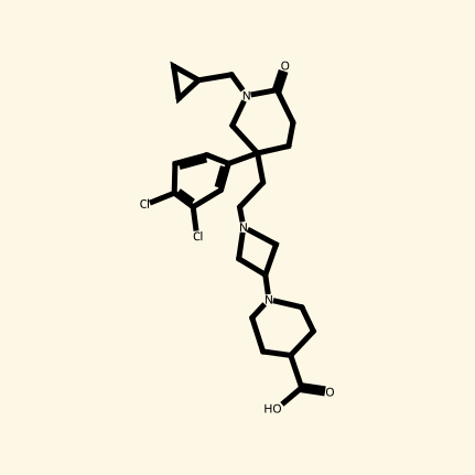 O=C(O)C1CCN(C2CN(CCC3(c4ccc(Cl)c(Cl)c4)CCC(=O)N(CC4CC4)C3)C2)CC1